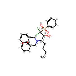 CCCC[C@H](C(O)C(F)(F)S(=O)(=O)c1ccccc1)N(Cc1ccccc1)Cc1ccccc1